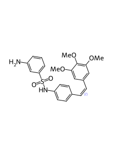 COc1cc(/C=C\c2ccc(NS(=O)(=O)c3cccc(N)c3)cc2)cc(OC)c1OC